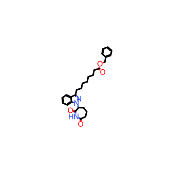 O=C1CCCC(n2nc(CCCCCCCC(=O)OCc3ccccc3)c3ccccc32)C(=O)N1